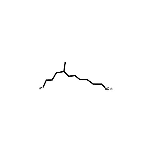 [CH2]C(C)CCCC(C)CCCCCCCCCCCCCC